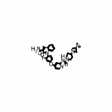 CN(C)C1CN(C2CCN(C(=O)Nc3cc(Oc4ccc(N(C(=O)C5(C(N)=O)CC5)c5ccccc5)c(F)c4)ccn3)CC2)C1